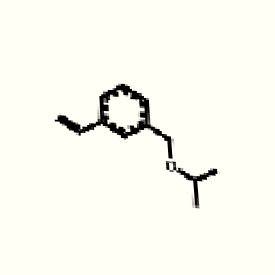 C=Cc1cccc(COC(C)C)c1